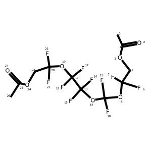 CC(=O)OCC(F)(F)OC(F)(F)OC(F)(F)C(F)(F)OC(F)(F)COC(C)=O